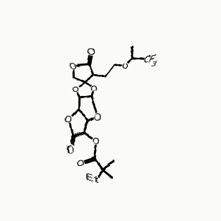 CCC(C)(C)C(=O)OC1C(=O)OC2C3OC4(COC(=O)C4CCOC(C)C(F)(F)F)OC3OC12